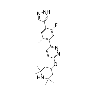 Cc1cc(-c2cn[nH]c2)c(F)cc1-c1ccc(OC2CC(C)(C)NC(C)(C)C2)nn1